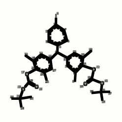 Cc1cc(C(c2ccc(I)cc2)c2cc(C)c(OC(=O)OC(C)(C)C)c(C)c2)cc(C)c1OC(=O)OC(C)(C)C